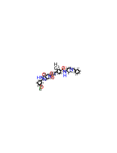 Cc1cc([S+]([O-])NC2CCN(Cc3ccccc3)CC2)ccc1/C=C/S(=O)(=O)N1CCC2(CC1)N=C(c1cccc(OF)c1)NC2=O